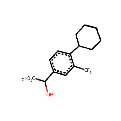 CCOC(=O)C(O)c1ccc(C2CCCCC2)c(C(F)(F)F)c1